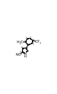 Cc1ccc(C(F)(F)F)cc1-c1c[nH]c(C#N)c1